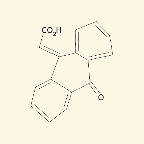 O=C(O)C=C1c2ccccc2C(=O)c2ccccc21